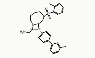 Cc1cccc(-c2ccc([C@H]3C4CN(S(=O)(=O)c5ccccc5C)CCCCN4[C@@H]3CN)cc2)c1